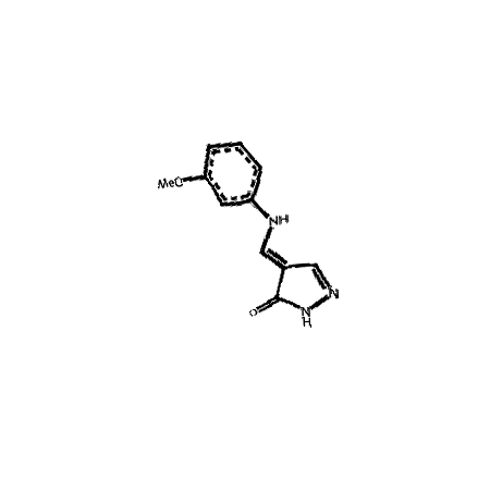 COc1cccc(NC=C2C=NNC2=O)c1